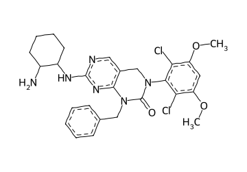 COc1cc(OC)c(Cl)c(N2Cc3cnc(NC4CCCCC4N)nc3N(Cc3ccccc3)C2=O)c1Cl